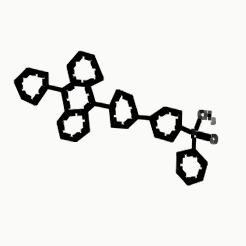 CP(=O)(c1ccccc1)c1ccc(-c2ccc(-c3c4ccccc4c(-c4ccccc4)c4ccccc34)cc2)cc1